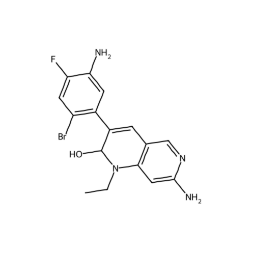 CCN1c2cc(N)ncc2C=C(c2cc(N)c(F)cc2Br)C1O